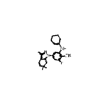 Cc1nn(-c2cc(F)c(C#N)c(NC3CCCCC3)c2)c2c1C=CC(C)(C)C2